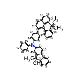 CC1(C)c2ccccc2-c2ccc(N(c3ccccc3)c3ccc(-c4ccc5cccc6c5c4-c4ccccc4C6(C)C)cc3)cc21